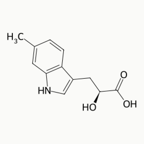 Cc1ccc2c(C[C@H](O)C(=O)O)c[nH]c2c1